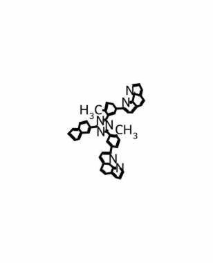 CC1=CCC(c2ccc3ccc4cccnc4c3n2)C=C1c1nc(-c2ccc3ccccc3c2)nc(-c2cc(-c3ccc4ccc5cccnc5c4n3)ccc2C)n1